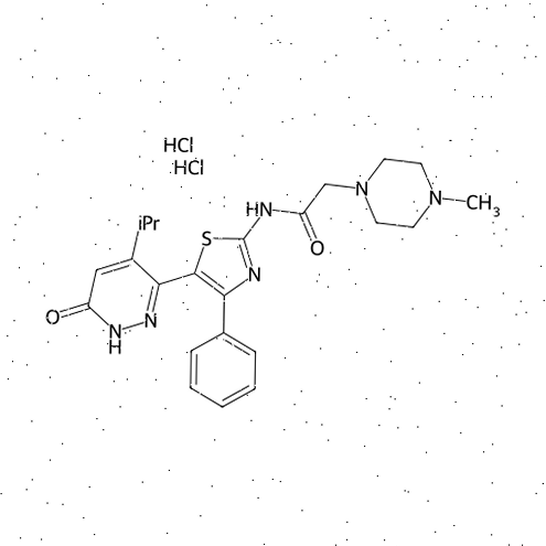 CC(C)c1cc(=O)[nH]nc1-c1sc(NC(=O)CN2CCN(C)CC2)nc1-c1ccccc1.Cl.Cl